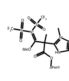 CCCCCOC(=O)C(C)(C(OC)=[N+](S(=O)(=O)C(F)(F)F)S(=O)(=O)C(F)(F)F)c1[nH]cc[n+]1C